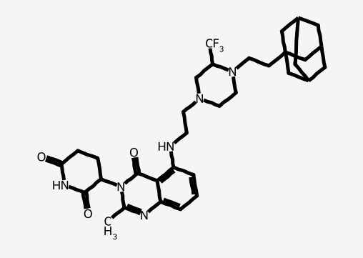 Cc1nc2cccc(NCCN3CCN(CCC45CC6CC(CC(C6)C4)C5)C(C(F)(F)F)C3)c2c(=O)n1C1CCC(=O)NC1=O